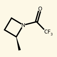 C[C@H]1CCN1C(=O)C(F)(F)F